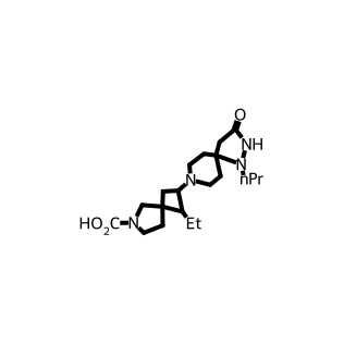 CCCN1NC(=O)CC12CCN(C1CC3(CCN(C(=O)O)C3)C1CC)CC2